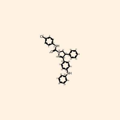 O=C(Nc1ccc(Cl)cc1)N1CC(c2ccccc2)C(c2ccc(Nc3ccccc3)cc2)=N1